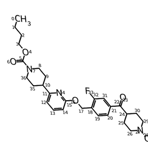 CCCCOC(=O)N1CCC(c2cccc(OCc3ccc(C(=O)C4CCN(C)CC4)cc3F)n2)CC1